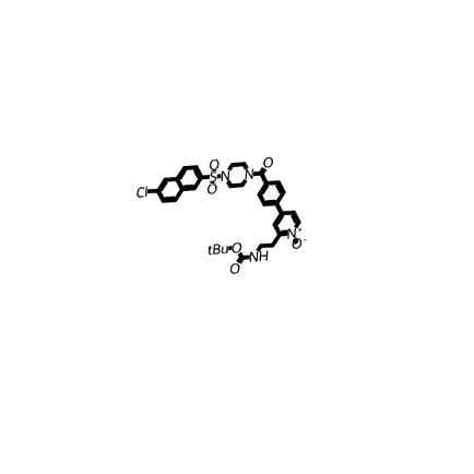 CC(C)(C)OC(=O)NCCc1cc(-c2ccc(C(=O)N3CCN(S(=O)(=O)c4ccc5cc(Cl)ccc5c4)CC3)cc2)cc[n+]1[O-]